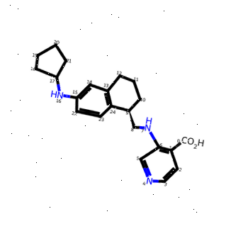 O=C(O)c1ccncc1NC[C@@H]1CCCc2cc(NC3CCCC3)ccc21